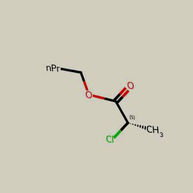 CCCCOC(=O)[C@H](C)Cl